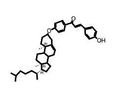 CC(C)CCCC(C)[C@H]1CCC2C3CC=C4CC(Oc5ccc(C(=O)C=Cc6ccc(O)cc6)cc5)CC[C@]4(C)C3CC[C@@]21C